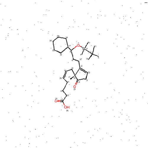 CC(C)(C)[Si](C)(C)OC(CCC1=CCC(=O)[C@]1(C)C/C=C\CCCC(=O)O)C1CCCCC1